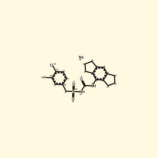 O=C(Nc1c2c(cc3c1CCC3)CCC2)NS(=O)(=O)Cc1ccc(Cl)c(F)c1.[Na]